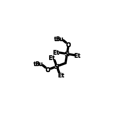 CC[Si](CC)(C[Si](CC)(CC)OC(C)(C)C)OC(C)(C)C